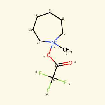 C[N+]1(OC(=O)C(F)(F)F)CCCCCC1